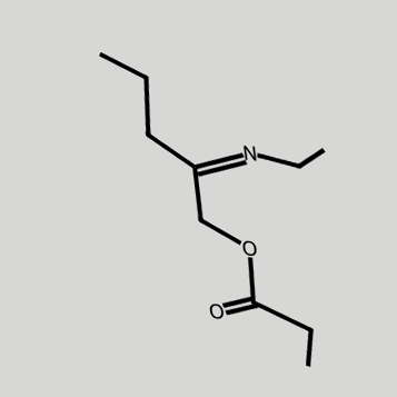 CCCC(COC(=O)CC)=NCC